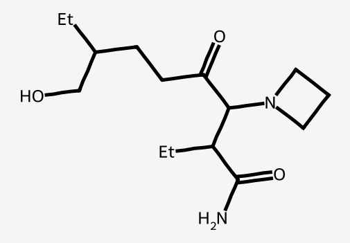 CCC(CO)CCC(=O)C(C(CC)C(N)=O)N1CCC1